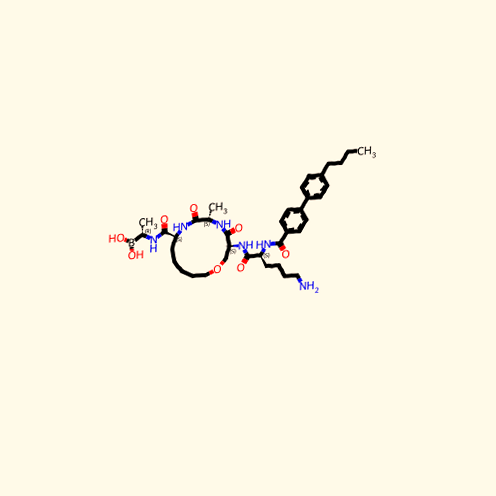 CCCCc1ccc(-c2ccc(C(=O)N[C@@H](CCCCN)C(=O)N[C@H]3COCCCCC[C@@H](C(=O)N[C@@H](C)B(O)O)NC(=O)[C@H](C)NC3=O)cc2)cc1